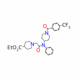 CCOC(=O)C1CCN(CC(=O)N(c2ccccc2)C2CCN(C(=O)c3ccc(C(F)(F)F)cc3)CC2)CC1